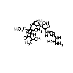 C[C@@H](O)[C@H]1C(=O)N2C(C(=O)O)=C(S[C@@H]3CN[C@H](C(O)CC(=O)N[C@H]4CCN(NC(=N)N)C4)C3)[C@H](C)[C@H]12